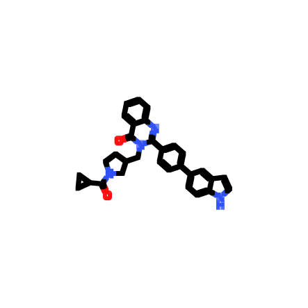 O=C(C1CC1)N1CCC(Cn2c(-c3ccc(-c4ccc5[nH]ccc5c4)cc3)nc3ccccc3c2=O)C1